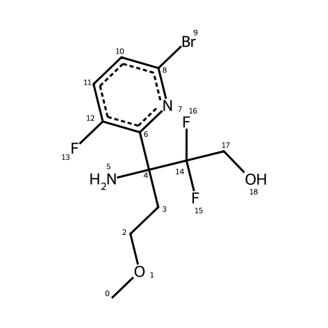 COCCC(N)(c1nc(Br)ccc1F)C(F)(F)CO